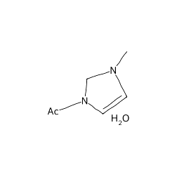 CC(=O)N1C=CN(C)C1.O